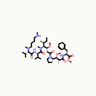 CC[C@H](C)[C@@H]([C@@H](CC(=O)N1CCC[C@H]1[C@H](OC)[C@@H](C)C(=O)N[C@@H](CC1=CCCC=C1)C(=O)OC)OC)N(C)C(=O)[C@@H](NC(=O)[C@H](C(C)C)N(C)CCCCNC)C(C)C